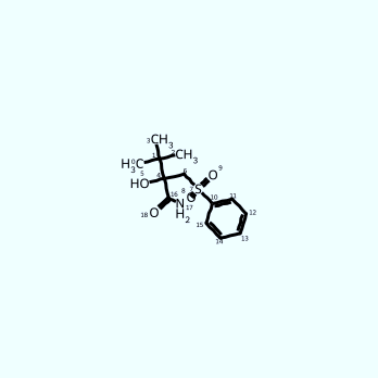 CC(C)(C)C(O)(CS(=O)(=O)c1ccccc1)C(N)=O